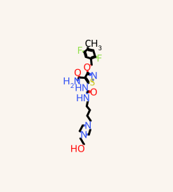 Cc1cc(F)c(COc2nsc(NC(=O)NCCCCCN3CCN(CCO)CC3)c2C(N)=O)cc1F